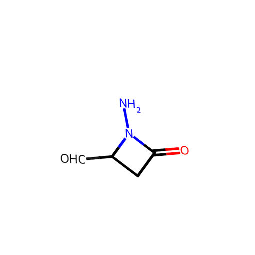 NN1C(=O)CC1C=O